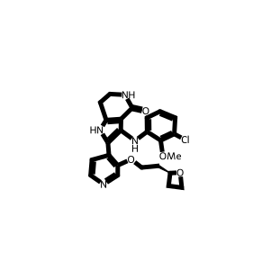 COc1c(Cl)cccc1Nc1c(-c2ccncc2OCC[C@@H]2CCO2)[nH]c2c1C(=O)NCC2